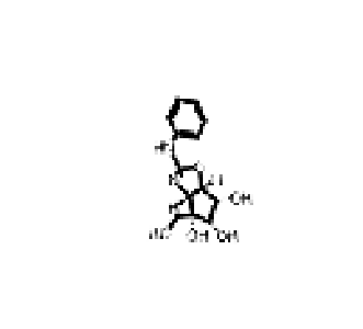 OC[C@@]1(O)[C@@H]2N=C(Nc3ccccc3)O[C@@H]2[C@H](O)[C@@H]1O